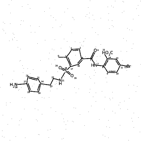 Cc1ccc(C(=O)Nc2ccc(Br)cc2C(=O)O)cc1S(=O)(=O)NCCc1ccc(N)cc1